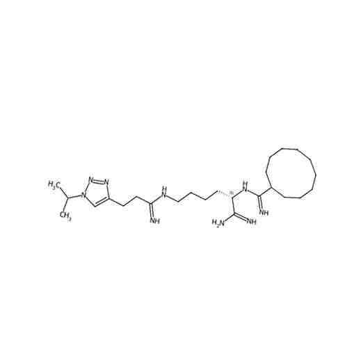 CC(C)n1cc(CCC(=N)NCCCC[C@H](NC(=N)C2CCCCCCCCC2)C(=N)N)nn1